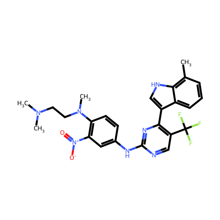 Cc1cccc2c(-c3nc(Nc4ccc(N(C)CCN(C)C)c([N+](=O)[O-])c4)ncc3C(F)(F)F)c[nH]c12